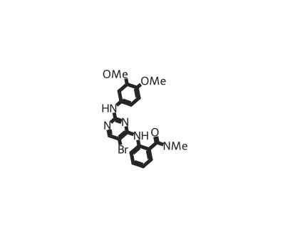 CNC(=O)c1ccccc1Nc1nc(NC2=CC=C(OC)C(OC)C2)ncc1Br